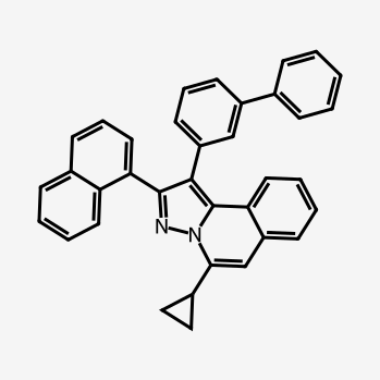 c1ccc(-c2cccc(-c3c(-c4cccc5ccccc45)nn4c(C5CC5)cc5ccccc5c34)c2)cc1